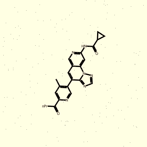 CCCC(=O)c1cc(C)c(-c2cc3cnc(NC(=O)C4CC4)cc3n3ncnc23)cn1